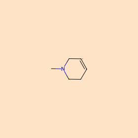 CN1C[C]=CCC1